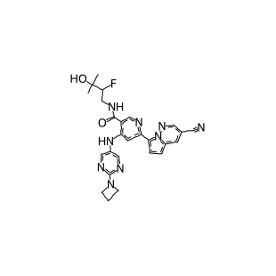 CC(C)(O)C(F)CNC(=O)c1cnc(-c2ccc3cc(C#N)cnn23)cc1Nc1cnc(N2CCC2)nc1